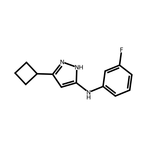 Fc1cccc(Nc2cc(C3CCC3)n[nH]2)c1